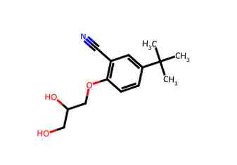 CC(C)(C)c1ccc(OCC(O)CO)c(C#N)c1